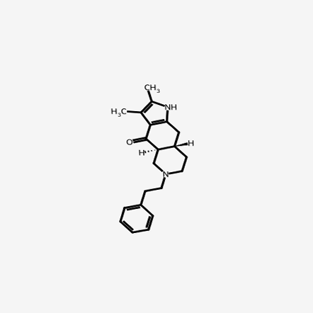 Cc1[nH]c2c(c1C)C(=O)[C@@H]1CN(CCc3ccccc3)CC[C@H]1C2